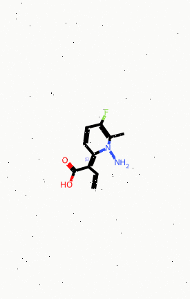 C=C/C(C(=O)O)=C1/C=CC(F)=C(C)N1N